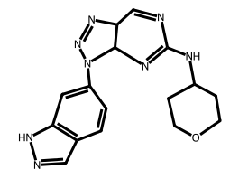 C1=NC(NC2CCOCC2)=NC2C1N=NN2c1ccc2cn[nH]c2c1